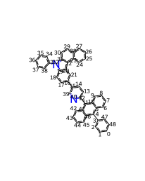 c1ccc(-c2c3ccccc3c(-c3ccc(-c4ccc5c(c4)c4c6ccccc6ccc4n5-c4ccccc4)cn3)c3ccccc23)cc1